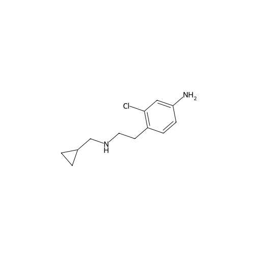 Nc1ccc(CCNCC2CC2)c(Cl)c1